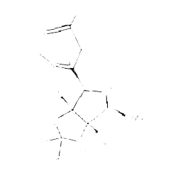 CCC(=O)CC(=NO)[C@H]1O[C@@H](OC)[C@@H]2OC(C)(C)O[C@@H]21